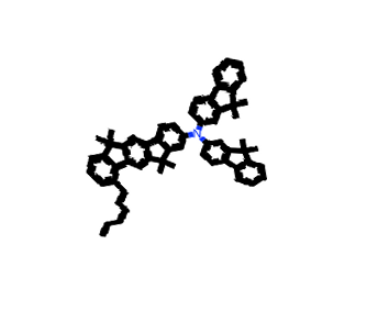 C=C/C=C\C=C\c1cccc2c1-c1cc3c(cc1C2(C)C)-c1ccc(N(c2ccc4c(c2)C(C)(C)c2ccccc2-4)c2ccc4c(c2)C(C)(C)c2ccccc2-4)cc1C3(C)C